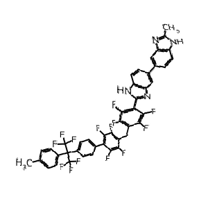 Cc1ccc(C(c2ccc(-c3c(F)c(F)c(Cc4c(F)c(F)c(-c5nc6cc(-c7ccc8[nH]c(C)nc8c7)ccc6[nH]5)c(F)c4F)c(F)c3F)cc2)(C(F)(F)F)C(F)(F)F)cc1